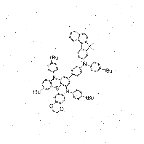 CC(C)(C)c1ccc(N(c2ccc(-c3cc4c5c(c3)N(c3ccc(C(C)(C)C)cc3)c3cc6c(cc3B5c3cc(C(C)(C)C)ccc3N4c3ccc(C(C)(C)C)cc3)OCCO6)cc2)c2ccc3c(c2)C(C)(C)c2ccc4ccccc4c2-3)cc1